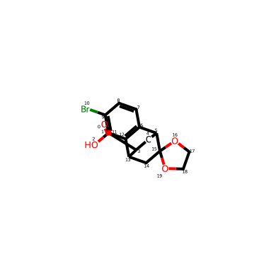 O=C(O)C1CC2c3ccc(Br)cc3C1CC21OCCO1